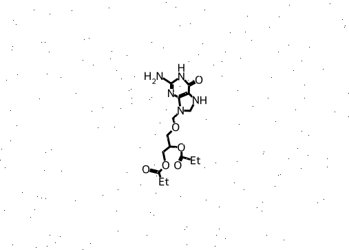 CCC(=O)OCC(COCN1CNc2c1nc(N)[nH]c2=O)OC(=O)CC